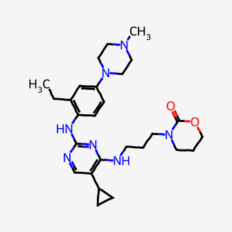 CCc1cc(N2CCN(C)CC2)ccc1Nc1ncc(C2CC2)c(NCCCN2CCCOC2=O)n1